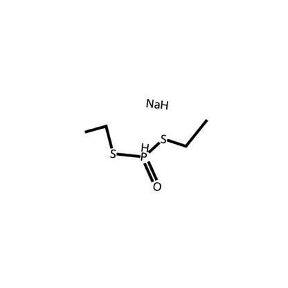 CCS[PH](=O)SCC.[NaH]